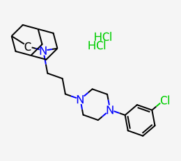 Cl.Cl.Clc1cccc(N2CCN(CCCN3CC4CC5CC(C4)CC3C5)CC2)c1